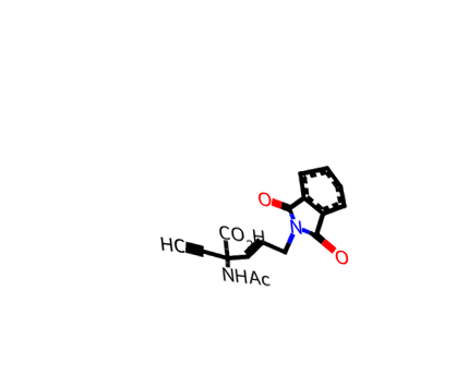 C#CC(C=CCN1C(=O)c2ccccc2C1=O)(NC(C)=O)C(=O)O